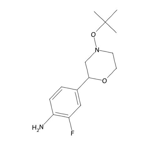 CC(C)(C)ON1CCOC(c2ccc(N)c(F)c2)C1